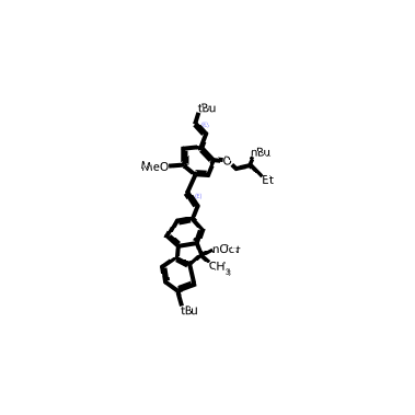 CCCCCCCCC1(C)c2cc(/C=C/c3cc(OCC(CC)CCCC)c(/C=C/C(C)(C)C)cc3OC)ccc2-c2ccc(C(C)(C)C)cc21